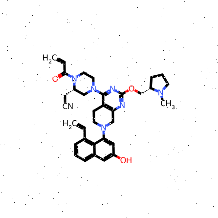 C=CC(=O)N1CCN(c2nc(OC[C@@H]3CCCN3C)nc3c2CCN(c2cc(O)cc4cccc(C=C)c24)C3)C[C@@H]1CC#N